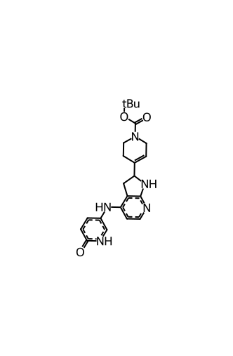 CC(C)(C)OC(=O)N1CC=C(C2Cc3c(Nc4ccc(=O)[nH]c4)ccnc3N2)CC1